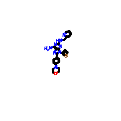 Nc1nc(NCc2ccccn2)nc2c1nc(-c1ccc(N3CCOCC3)cc1)n2-c1ccsc1